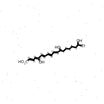 CCC(O)CCCCCC(O)/C=C/C=C/C=C/C(O)=C/C=C/C(=O)O